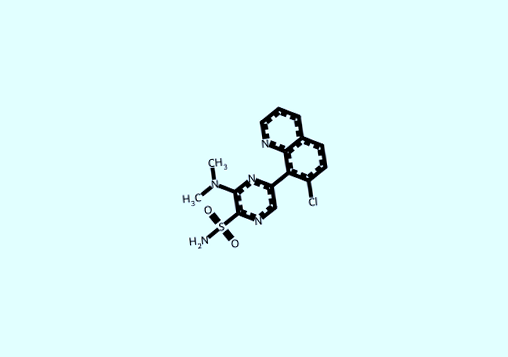 CN(C)c1nc(-c2c(Cl)ccc3cccnc23)cnc1S(N)(=O)=O